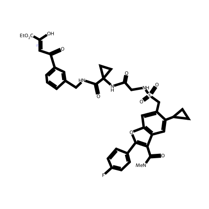 CCOC(=O)/C(O)=C/C(=O)c1cccc(CNC(=O)C2(NC(=O)CNS(=O)(=O)Cc3cc4oc(-c5ccc(F)cc5)c(C(=O)NC)c4cc3C3CC3)CC2)c1